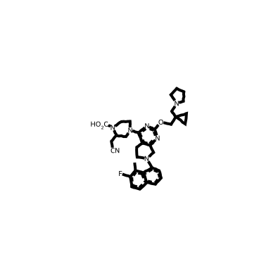 Cc1c(F)ccc2cccc(N3CCc4c(nc(OCC5(CN6CCCC6)CC5)nc4N4CCN(C(=O)O)C(CC#N)C4)C3)c12